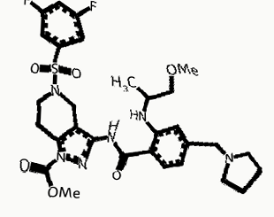 COCC(C)Nc1cc(CN2CCCC2)ccc1C(=O)Nc1nn(C(=O)OC)c2c1CN(S(=O)(=O)c1cc(F)cc(F)c1)CC2